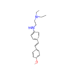 CCN(CC)CCNc1ccc(C=Cc2ccc(OC)cc2)cc1